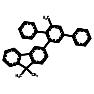 Cc1cc(-c2ccccc2)cc(-c2ccc3c(c2)-c2ccccc2C3(C)C)c1-c1ccccc1